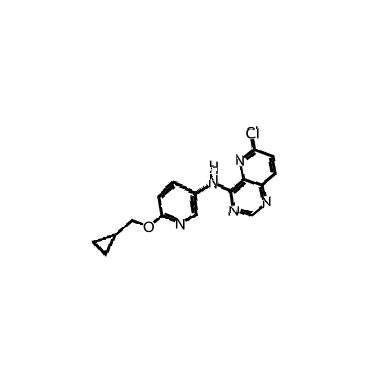 Clc1ccc2ncnc(Nc3ccc(OCC4CC4)nc3)c2n1